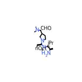 C=C(N)[C@H](C(C)C)N(C)C(=CCCCCCCCC)N1CCC(C(C=O)N(C)C)C1